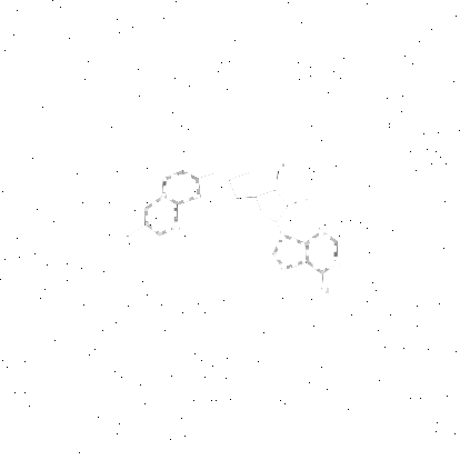 Nc1ncnc2c1ncn2[C@@H]1O[C@]2(C[C@@H](Oc3ccc4cc(Cl)cnc4c3)C2)[C@@H](O)[C@H]1O